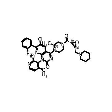 Cc1ccnc(C(C)C)c1-n1c(=O)nc(N2CCN(C(=O)[C@@H]3O[C@H]3CN3CCCCC3)C[C@@H]2C)c2cc(Cl)c(-c3ccccc3F)nc21